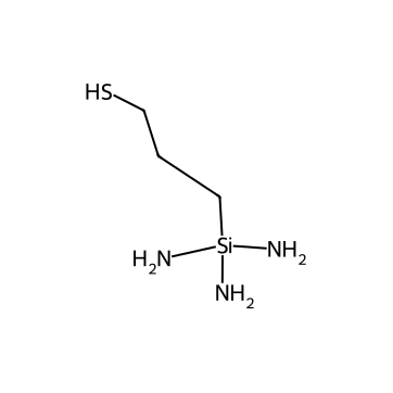 N[Si](N)(N)CCCS